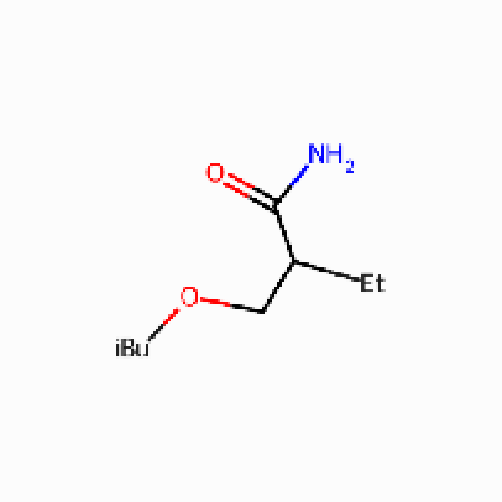 CCC(C)OCC(CC)C(N)=O